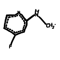 [CH2]Nc1cc(F)ccn1